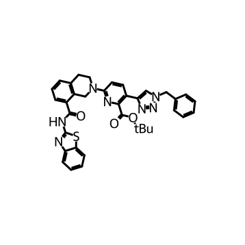 CC(C)(C)OC(=O)c1nc(N2CCc3cccc(C(=O)Nc4nc5ccccc5s4)c3C2)ccc1-c1cn(Cc2ccccc2)nn1